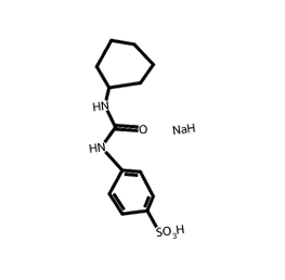 O=C(Nc1ccc(S(=O)(=O)O)cc1)NC1CCCCC1.[NaH]